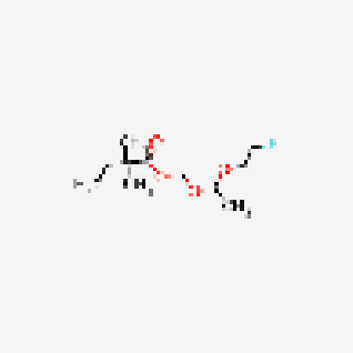 CCC(C)(C)C(=O)OCOC(C)OCCF